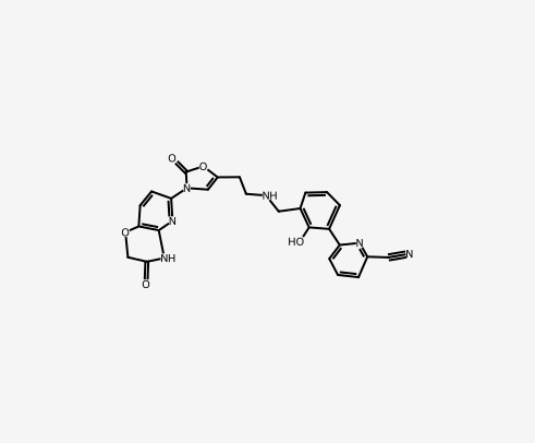 N#Cc1cccc(-c2cccc(CNCCc3cn(-c4ccc5c(n4)NC(=O)CO5)c(=O)o3)c2O)n1